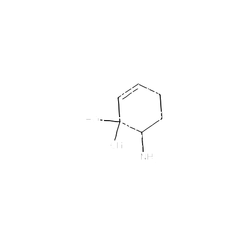 CC1(O)C=CCCC1N